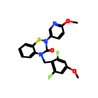 COc1cc(F)c(CN2C(=O)N(c3ccc(OC)nc3)Sc3ccccc32)c(F)c1